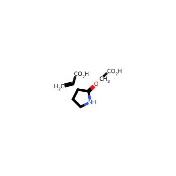 C=CC(=O)O.CC(=O)O.O=C1CCCN1